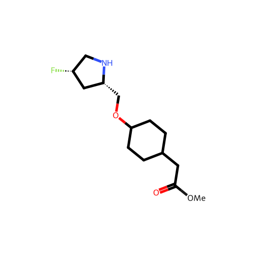 COC(=O)CC1CCC(OC[C@@H]2C[C@H](F)CN2)CC1